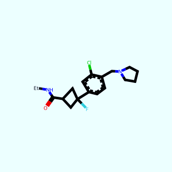 CCNC(=O)C1CC(F)(c2ccc(CN3CCCC3)c(Cl)c2)C1